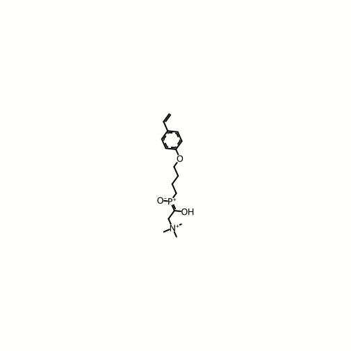 C=Cc1ccc(OCCCC/[P+]([O-])=C(\O)C[N+](C)(C)C)cc1